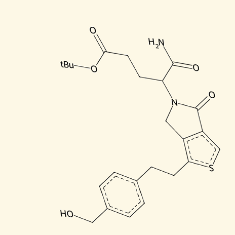 CC(C)(C)OC(=O)CCC(C(N)=O)N1Cc2c(csc2CCc2ccc(CO)cc2)C1=O